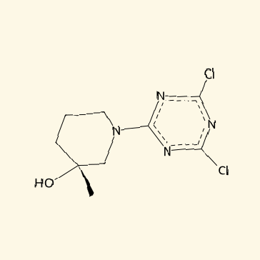 C[C@@]1(O)CCCN(c2nc(Cl)nc(Cl)n2)C1